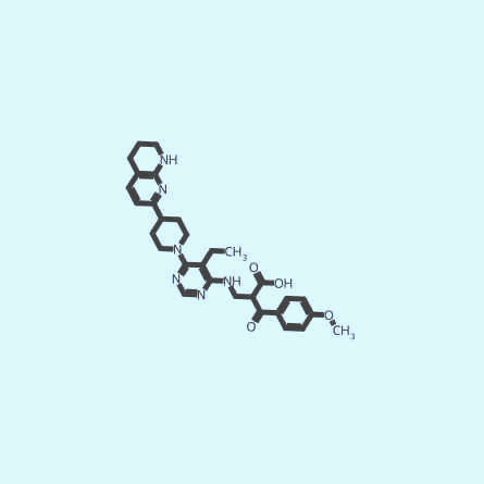 CCc1c(NCC(C(=O)O)C(=O)c2ccc(OC)cc2)ncnc1N1CCC(c2ccc3c(n2)NCCC3)CC1